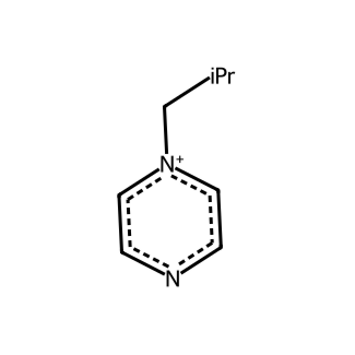 CC(C)C[n+]1ccncc1